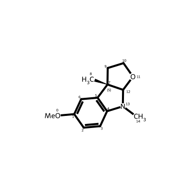 COc1ccc2c(c1)[C@]1(C)CCOC1N2C